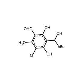 CCCCC(O)c1c(O)c(Cl)c(C)c(C=O)c1O